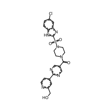 O=C(c1cnc(-c2ccnc(CO)c2)nc1)N1CCN(S(=O)(=O)c2nc3cc(Cl)ccc3[nH]2)CC1